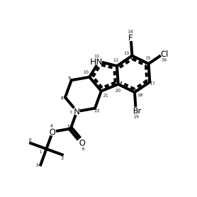 CC(C)(C)OC(=O)N1CCc2[nH]c3c(F)c(Cl)cc(Br)c3c2C1